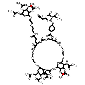 CC(=O)NC1C(OCCOCCNC(=O)CCC2NC(=O)CCC(NC(=O)[C@H]3CC[C@@H](OP(OCCC#N)N(C(C)C)C(C)C)CC3)C(=O)NCCOCCOC3OC(COC(=O)N(C(C)=O)C4C(OCCOCCNC2=O)OC(COC(C)=O)C(OC(C)=O)C4OC(C)=O)C(OC(C)=O)C(OC(C)=O)C3NC(C)=O)OC(COC(C)=O)C(OC(C)=O)C1OC(C)=O